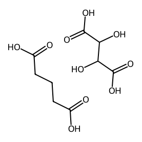 O=C(O)C(O)C(O)C(=O)O.O=C(O)CCCC(=O)O